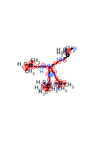 CC(=O)N[C@@H]1[C@H](OCCOCCNC(=O)CCOCC(COCCC(=O)NCCOCCO[C@H]2C[C@@H](OC(C)=O)[C@@H](OC(C)=O)[C@@H](COC(C)=O)O2)(COCCC(=O)NCCOCCO[C@H]2OC[C@@H](OC(C)=O)[C@@H](OC(C)=O)[C@@H]2NC(C)=O)NC(=O)CCOCCOCCNC(=O)CCc2ccc3c(c2)C(C)N(C(C)C)P(OCCC#N)O3)O[C@H](C)[C@@H](OC(C)=O)[C@H]1OC(C)=O